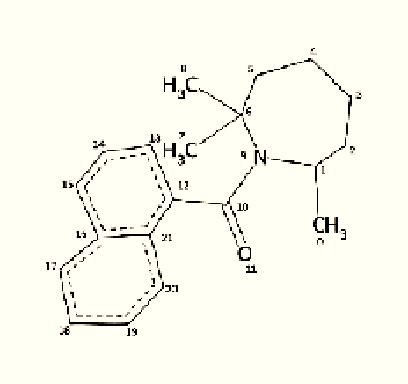 CC1CCCCC(C)(C)N1C(=O)c1cccc2ccccc12